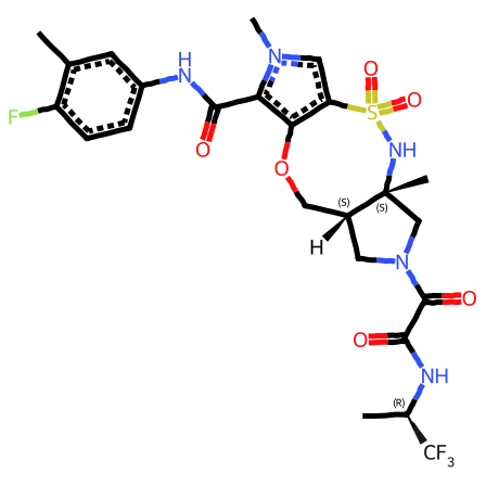 Cc1cc(NC(=O)c2c3c(cn2C)S(=O)(=O)N[C@]2(C)CN(C(=O)C(=O)N[C@H](C)C(F)(F)F)C[C@@H]2CO3)ccc1F